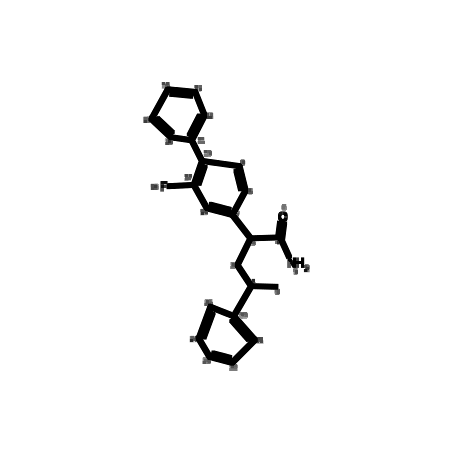 CC(CC(C(N)=O)c1ccc(-c2ccccc2)c(F)c1)c1ccccc1